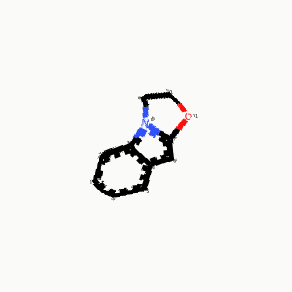 c1ccc2c(c1)cc1n2CCO1